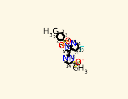 Cc1ccc(S(=O)(=O)n2cc(-c3nccc([S+](C)[O-])n3)c3cc(F)cnc32)cc1